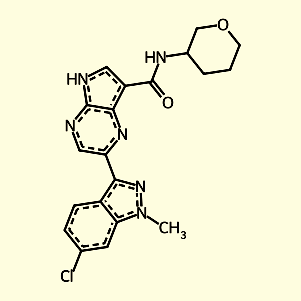 Cn1nc(-c2cnc3[nH]cc(C(=O)NC4CCCOC4)c3n2)c2ccc(Cl)cc21